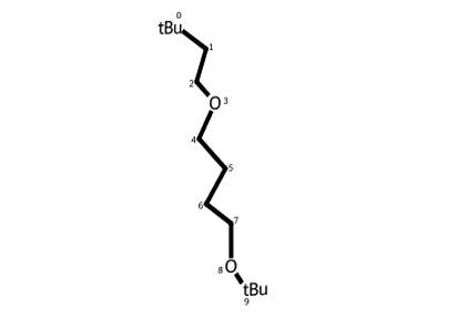 CC(C)(C)CCOCCCCOC(C)(C)C